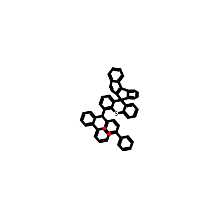 c1ccc(-c2ccc(C(c3ccccc3-c3ccccc3)c3cccc4c3Sc3ccccc3C43c4ccccc4-c4c3ccc3ccccc43)cc2)cc1